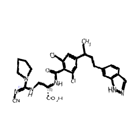 CC(CCc1ccc2cn[nH]c2c1)c1cc(Cl)c(C(=O)N[C@@H](CN/C(=N\C#N)N2CCCC2)C(=O)O)c(Cl)c1